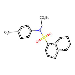 CCOC(=O)CN(c1ccc([N+](=O)[O-])cc1)S(=O)(=O)c1cccc2ccccc12